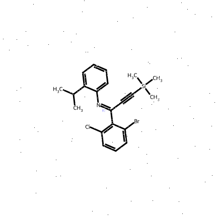 CC(C)c1ccccc1/N=C(\C#C[Si](C)(C)C)c1c(Cl)cccc1Br